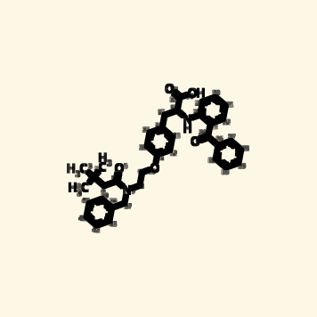 CC(C)(C)CC(=O)N(CCOc1ccc(CC(Nc2ccccc2C(=O)c2ccccc2)C(=O)O)cc1)Cc1ccccc1